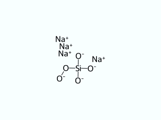 [Na+].[Na+].[Na+].[Na+].[O-]O[Si]([O-])([O-])[O-]